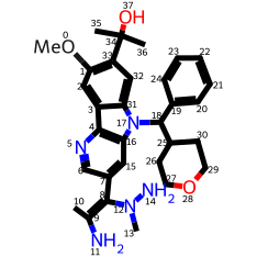 COc1cc2c3ncc(/C(=C(\C)N)N(C)N)cc3n(C(c3ccccc3)C3CCOCC3)c2cc1C(C)(C)O